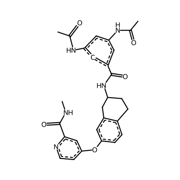 CNC(=O)c1cc(Oc2ccc3c(c2)CC(NC(=O)c2cc(NC(C)=O)cc(NC(C)=O)c2)CC3)ccn1